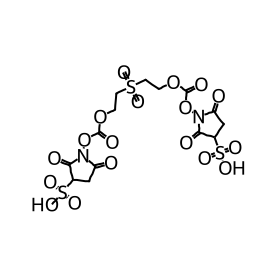 O=C(OCCS(=O)(=O)CCOC(=O)ON1C(=O)CC(S(=O)(=O)O)C1=O)ON1C(=O)CC(S(=O)(=O)O)C1=O